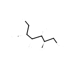 CC(=O)O[C@@H]([C@H](OC(C)=O)[C@@H](CO)OC(C)=O)[C@@H](CN)OC(C)=O